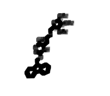 COC(=O)C(CCSCC1O[C@@H](OC(C)=O)[C@H](OC(C)=O)[C@@H]1OC(C)=O)NC(=O)OCC1c2ccccc2-c2ccccc21